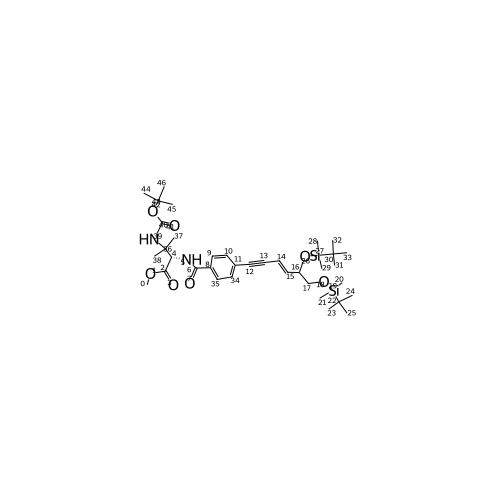 COC(=O)[C@@H](NC(=O)c1ccc(C#C/C=C/C(CO[Si](C)(C)C(C)(C)C)O[Si](C)(C)C(C)(C)C)cc1)C(C)(C)NC(=O)OC(C)(C)C